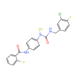 O=C(Nc1ccc(N(S)C(=O)NCc2ccc(F)c(Cl)c2)cc1)c1ccccc1F